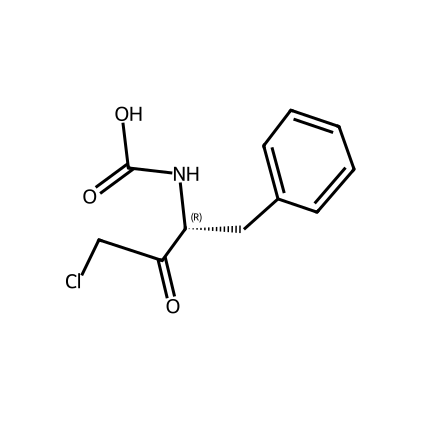 O=C(O)N[C@H](Cc1ccccc1)C(=O)CCl